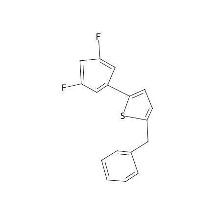 Fc1cc(F)cc(-c2ccc(Cc3ccccc3)s2)c1